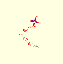 O.O.O.O.O.O.O.O.O=P(O)(O)O.[CaH2]